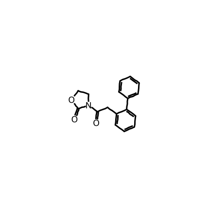 O=C(Cc1ccccc1-c1ccccc1)N1CCOC1=O